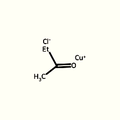 CCC(C)=O.[Cl-].[Cu+]